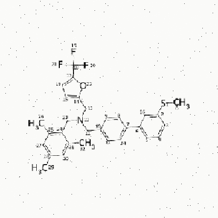 CSc1cccc(-c2ccc(CN(Cc3ccc(C(F)(F)F)o3)Cc3c(C)cc(C)cc3C)cc2)c1